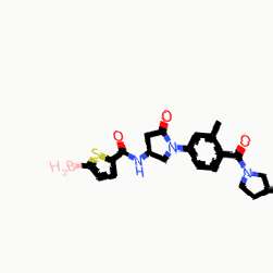 Bc1ccc(C(=O)NC2CC(=O)N(c3ccc(C(=O)N4CCCC4)c(C)c3)C2)s1